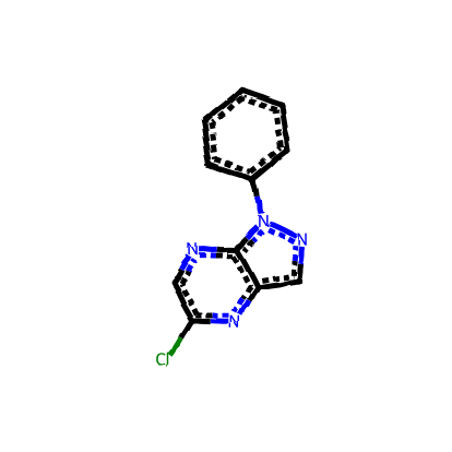 Clc1cnc2c(cnn2-c2ccccc2)n1